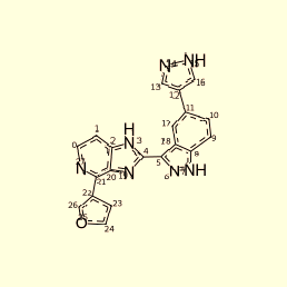 c1cc2[nH]c(-c3n[nH]c4ccc(-c5cn[nH]c5)cc34)nc2c(-c2ccoc2)n1